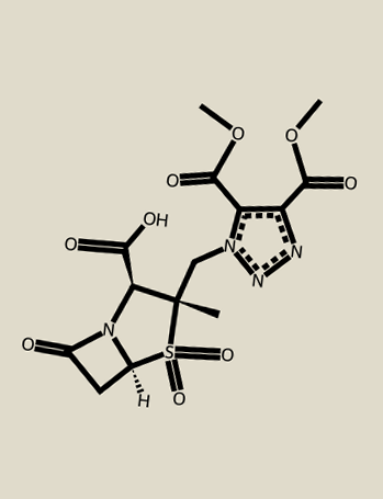 COC(=O)c1nnn(C[C@@]2(C)[C@H](C(=O)O)N3C(=O)C[C@@H]3S2(=O)=O)c1C(=O)OC